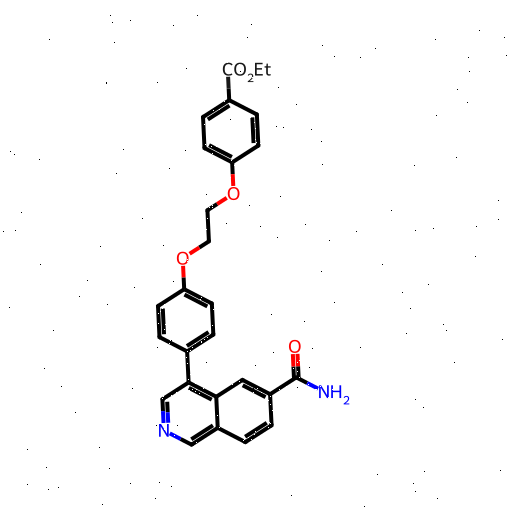 CCOC(=O)c1ccc(OCCOc2ccc(-c3cncc4ccc(C(N)=O)cc34)cc2)cc1